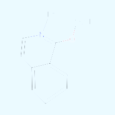 CC[n+]1ccc2ccccc2c1OS(=O)(=O)O